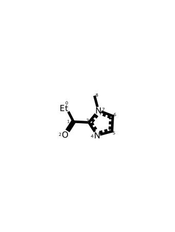 CCC(=O)c1nccn1C